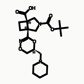 CC(C)(C)OC(=O)N1C[C@@]2(C(=O)O)CC[C@@]2(C2=NOC[C@@H](CN3CCCCC3)O2)C1